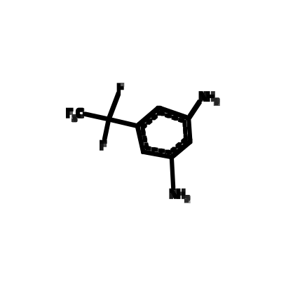 Nc1cc(N)cc(C(F)(F)C(F)(F)F)c1